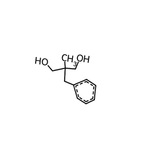 CC(CO)(CO)Cc1ccccc1